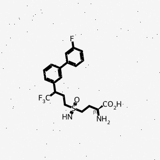 N=S(=O)(CCC(c1cccc(-c2cccc(F)c2)c1)C(F)(F)F)CC[C@H](N)C(=O)O